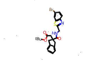 CC(C)(C)OC(=O)CC1(C(=O)NCc2nc3ccc(Br)cc3s2)Cc2ccccc2C1